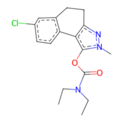 CCN(CC)C(=O)Oc1c2c(nn1C)CCc1cc(Cl)ccc1-2